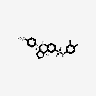 Cc1ccc(NS(=O)(=O)c2ccc3c(c2)[C@H]2OCC[C@H]2[C@H](c2ccc(C(=O)O)cc2)N3)cc1C